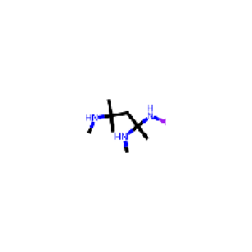 CNC(C)(C)CC(C)(NC)NI